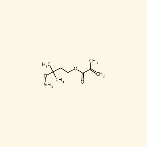 C=C(C)C(=O)OCCC(C)(C)O[SiH3]